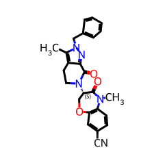 Cc1c2c(nn1Cc1ccccc1)C(=O)N([C@H]1COc3cc(C#N)ccc3N(C)C1=O)CC2